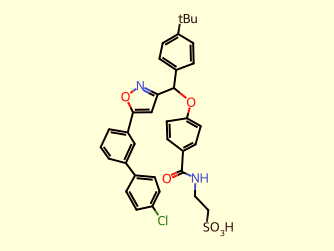 CC(C)(C)c1ccc(C(Oc2ccc(C(=O)NCCS(=O)(=O)O)cc2)c2cc(-c3cccc(-c4ccc(Cl)cc4)c3)on2)cc1